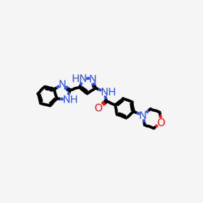 O=C(Nc1cc(-c2nc3ccccc3[nH]2)[nH]n1)c1ccc(N2CCOCC2)cc1